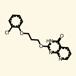 O=c1[nH]c(OCCCOc2ccccc2Cl)nc2ncccc12